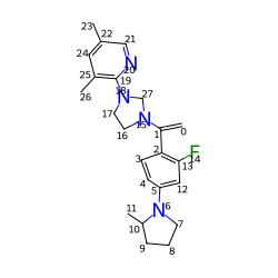 C=C(c1ccc(N2CCCC2C)cc1F)N1CCN(c2ncc(C)cc2C)C1